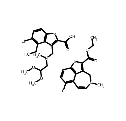 CCOC(=O)c1sc2ccc(Cl)c3c2c1CN(C)C=C3.CCc1c(Cl)ccc2sc(C(=O)O)c(CN(C)CC(OC)OC)c12